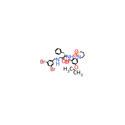 CC(C)Oc1cc(C(=O)N[C@@H](Cc2ccccc2)[C@H](O)CNCc2cc(Br)cc(Br)c2)cc(N2CCCCS2(=O)=O)c1